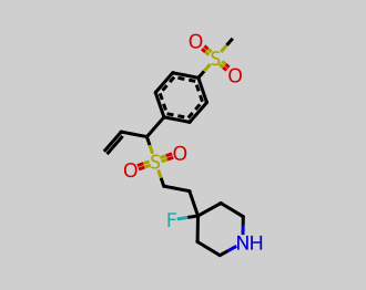 C=CC(c1ccc(S(C)(=O)=O)cc1)S(=O)(=O)CCC1(F)CCNCC1